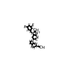 C#Cc1cnc2ccn(-c3cnc4nc(C)n(Cc5cc(F)cc(F)c5)c4c3)c2n1